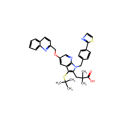 CC(C)(C)Sc1c(CC(C)(C)C(=O)O)n(Cc2ccc(-c3nccs3)cc2)c2ncc(OCc3ccc4ccccc4n3)cc12